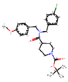 COc1ccc(CN(Cc2ccc(F)cc2)C(=O)C2CCN(C(=O)OC(C)(C)C)CC2)cc1